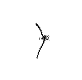 CCCCCCCCCCCCCCCCCCCCCCC(O)C(=O)N[C@@H](CO)[C@H](O)CCCCCCCCCCCCCCC